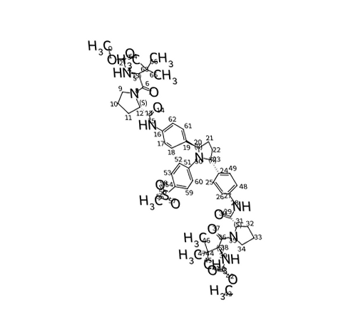 COC(=O)N[C@H](C(=O)N1CCC[C@H]1C(=O)Nc1ccc([C@H]2CC[C@H](c3ccc(NC(=O)[C@@H]4CCCN4C(=O)[C@@H](NC(=O)OC)C(C)(C)C)cc3)N2c2ccc(S(C)(=O)=O)cc2)cc1)C(C)(C)C